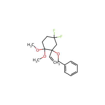 C=CC1(OCc2ccccc2)CC(F)(F)CCC1(OC)OC